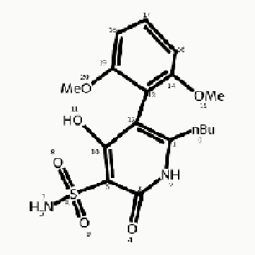 CCCCc1[nH]c(=O)c(S(N)(=O)=O)c(O)c1-c1c(OC)cccc1OC